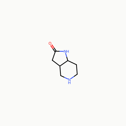 O=C1CC2CNCCC2N1